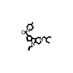 C=CCn1c2c(c3cc(C(=O)N4CCC(C)CC4)ccc31)CN(CC(CC)CC)CC2